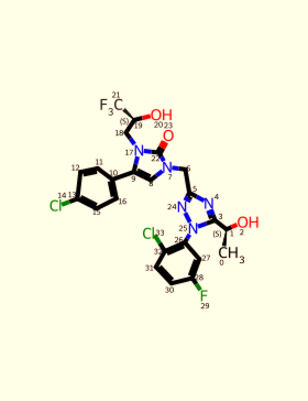 C[C@H](O)c1nc(Cn2cc(-c3ccc(Cl)cc3)n(C[C@H](O)C(F)(F)F)c2=O)nn1-c1cc(F)ccc1Cl